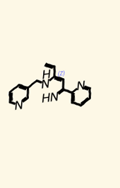 C=C/C(=C/C(=N)c1ccccn1)NCc1cccnc1